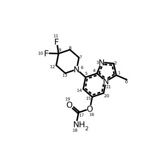 Cc1cnc2c(N3CCC(F)(F)CC3)cc(OC(N)=O)cn12